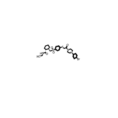 N#CCNC(=O)[C@@H]1CCCC[C@H]1CS(=O)(=O)c1ccc(SCC(=O)N2CCN(c3ccc(Br)cc3)CC2)cc1